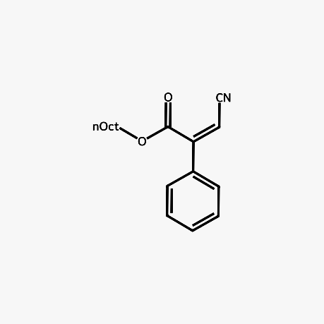 CCCCCCCCOC(=O)C(=CC#N)c1ccccc1